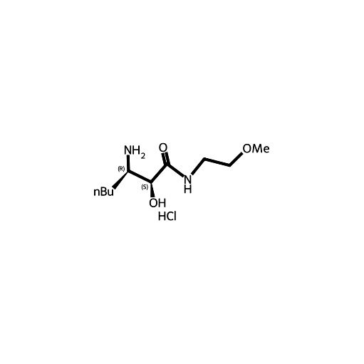 CCCC[C@@H](N)[C@H](O)C(=O)NCCOC.Cl